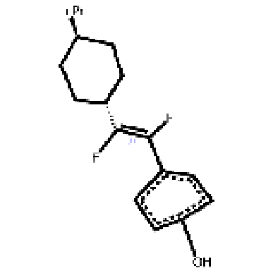 CCC[C@H]1CC[C@H](/C(F)=C(\F)c2ccc(O)cc2)CC1